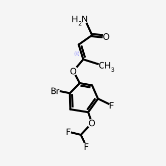 C/C(=C\C(N)=O)Oc1cc(F)c(OC(F)F)cc1Br